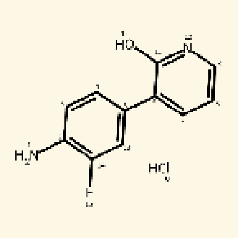 Cl.Nc1ccc(-c2cccnc2O)cc1F